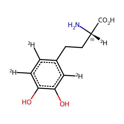 [2H]c1c([2H])c(CC[C@]([2H])(N)C(=O)O)c([2H])c(O)c1O